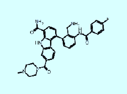 CN1CCN(C(=O)c2ccc3c(c2)[nH]c2c(C(N)=O)ccc(-c4cccc(NC(=O)c5ccc(F)cc5)c4CN)c23)CC1